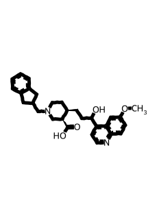 COc1ccc2nccc(C(O)CC[C@@H]3CCN(CC4Cc5ccccc5C4)C[C@@H]3C(=O)O)c2c1